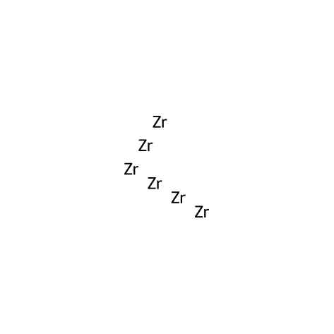 [Zr].[Zr].[Zr].[Zr].[Zr].[Zr]